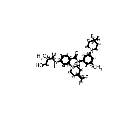 Cc1cc(NC(=O)c2ccc(NC(=O)[C@@H](C)CO)cc2N2CCC(=C(F)F)CC2)cc(N2CCC(F)(F)CC2)c1